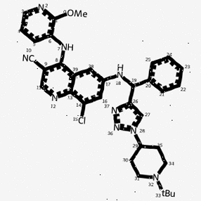 COc1ncccc1Nc1c(C#N)cnc2c(Cl)cc(NC(c3ccccc3)c3cn(C4CCN(C(C)(C)C)CC4)nn3)cc12